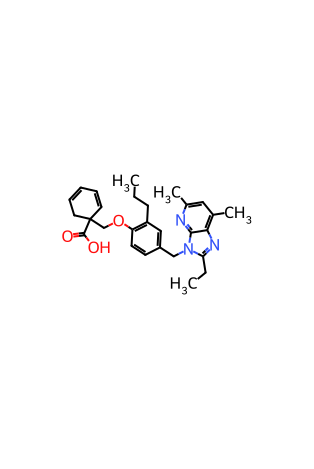 CCCc1cc(Cn2c(CC)nc3c(C)cc(C)nc32)ccc1OCC1(C(=O)O)C=CC=CC1